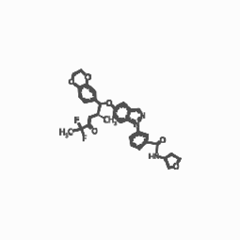 C[C@H](CC(=O)C(C)(F)F)[C@H](Oc1ccc2c(cnn2-c2cccc(C(=O)NC3CCOC3)c2)c1)c1ccc2c(c1)OCCO2